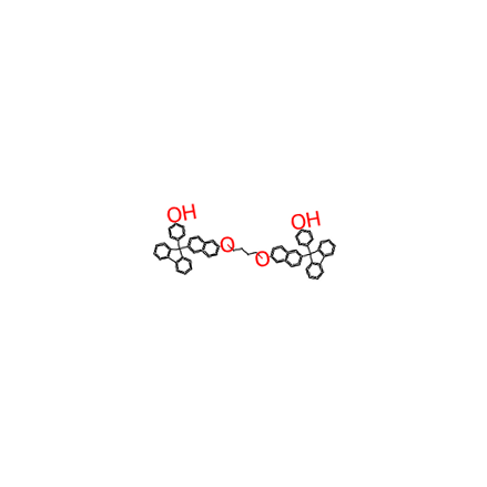 Oc1ccc(C2(c3ccc4cc(OCCCCOc5ccc6cc(C7(c8ccc(O)cc8)c8ccccc8-c8ccccc87)ccc6c5)ccc4c3)c3ccccc3-c3ccccc32)cc1